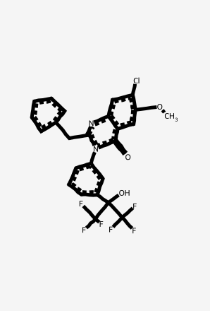 COc1cc2c(=O)n(-c3cccc(C(O)(C(F)(F)F)C(F)(F)F)c3)c(Cc3ccccc3)nc2cc1Cl